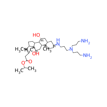 CC(C)OC(=O)CC[C@@H](C)C1CCC2C3C(C[C@H](O)[C@@]21C)[C@@]1(C)CC[C@H](NCCCN(CCCN)CCCN)CC1C[C@H]3O